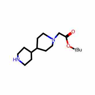 CC(C)(C)OC(=O)CN1CCC(C2CCNCC2)CC1